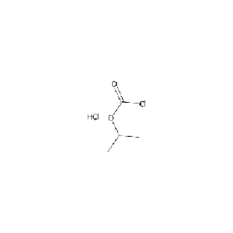 CC(C)OC(=O)Cl.Cl